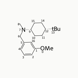 COc1cccc(CN(C)[C@H]2CC[C@@H](C(C)(C)C)CC2)c1